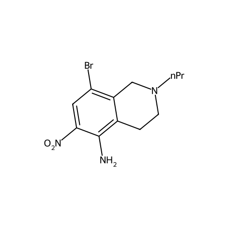 CCCN1CCc2c(N)c([N+](=O)[O-])cc(Br)c2C1